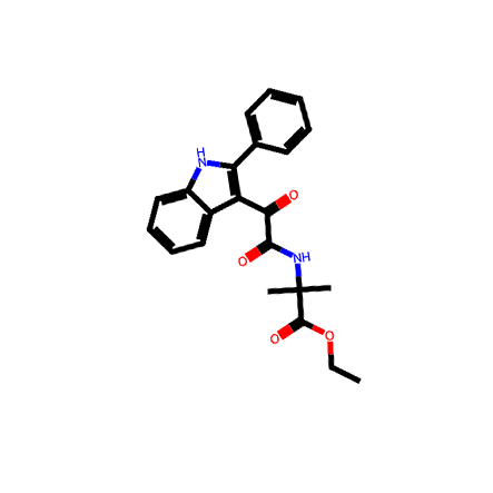 CCOC(=O)C(C)(C)NC(=O)C(=O)c1c(-c2ccccc2)[nH]c2ccccc12